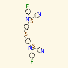 Fc1ccc(-c2nc(-c3ccc(CSCc4ccc(-c5nc(-c6ccc(F)cc6)c(-c6ccncc6)s5)cc4)cc3)sc2-c2ccncc2)cc1